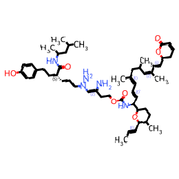 C/C=C/C1OC(C(/C=C/C=C(\C)CC(C)/C=C(C)\C=C\C2CC=CC(=O)O2)NC(=O)OCC/C(N)=C/N(N)CCC[C@H](CCc2ccc(O)cc2)C(=O)NC(C)CC(C)C)CCC1C